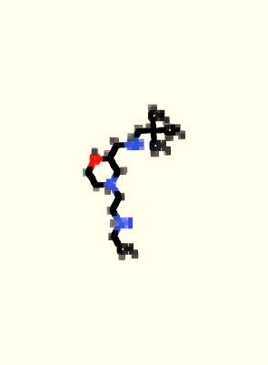 CCNCCN1CCOC(CNCC(C)(C)C)C1